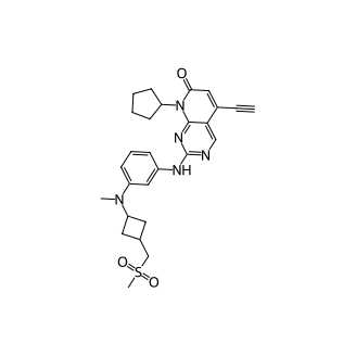 C#Cc1cc(=O)n(C2CCCC2)c2nc(Nc3cccc(N(C)C4CC(CS(C)(=O)=O)C4)c3)ncc12